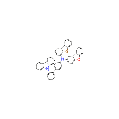 c1ccc(-n2c3ccccc3c3ccccc32)c(-c2ccc(N(c3ccc4oc5ccccc5c4c3)c3cccc4c3sc3ccccc34)cc2)c1